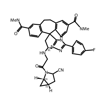 CNC(=O)c1ccc2c(c1)CCc1cc(C(=O)NC)ccc1C2(C[C@@H](C)NCC(=O)N1C(C#N)C[C@@H]2C[C@@H]21)c1nnc(-c2ccc(F)cc2)[nH]1